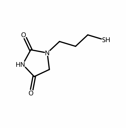 O=C1CN(CCCS)C(=O)N1